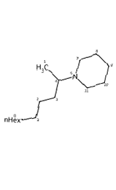 CCCCCCCCCC(C)N1CCCCC1